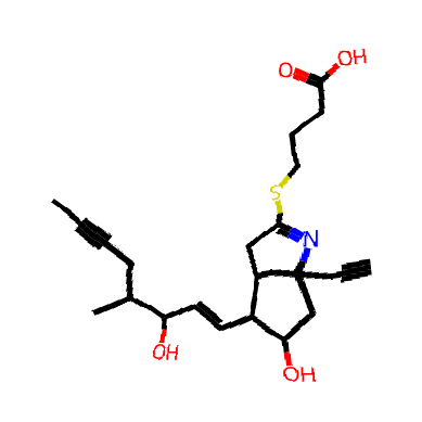 C#CC12CC(O)C(C=CC(O)C(C)CC#CC)C1CC(SCCCC(=O)O)=N2